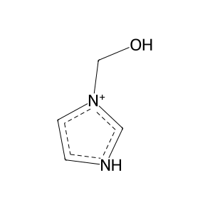 OC[n+]1cc[nH]c1